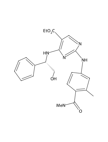 CCOC(=O)c1cnc(Nc2ccc(C(=O)NC)c(C)c2)nc1N[C@H](CO)c1ccccc1